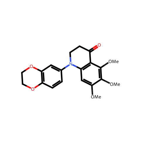 COc1cc2c(c(OC)c1OC)C(=O)CCN2c1ccc2c(c1)OCCO2